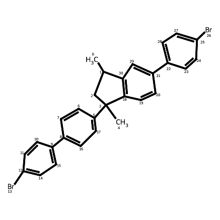 CC1CC(C)(c2ccc(-c3ccc(Br)cc3)cc2)c2ccc(-c3ccc(Br)cc3)cc21